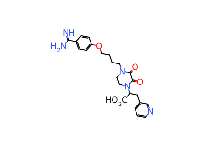 N=C(N)c1ccc(OCCCCN2CCN(C(Cc3cccnc3)C(=O)O)C(=O)C2=O)cc1